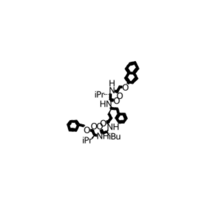 CC[C@H](C)[C@H](NC(=O)CC[C@H](Cc1ccccc1)NC(=O)[C@@H](NC(=O)COc1ccc2ccccc2c1)C(C)C)C(=O)N[C@H](C(=O)OCc1ccccc1)C(C)C